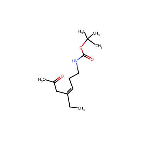 CCC(=CCCNC(=O)OC(C)(C)C)CC(C)=O